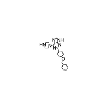 c1ccc(COc2ccc(-c3nc(N4CCNCC4)c4nc[nH]c4n3)cc2)cc1